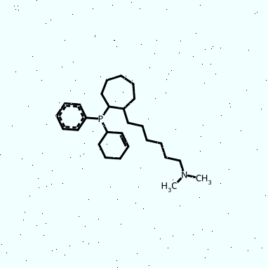 CN(C)CCCCCCC1CCCCCC1P(c1ccccc1)C1C=CCCC1